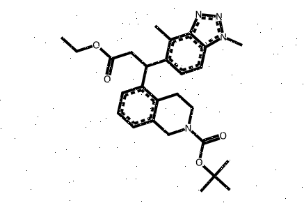 CCOC(=O)CC(c1cccc2c1CCN(C(=O)OC(C)(C)C)C2)c1ccc2c(nnn2C)c1C